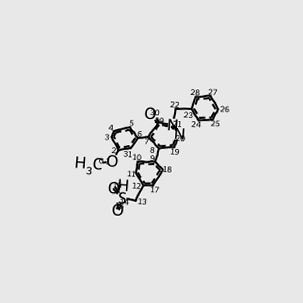 COc1cccc(-c2c(-c3ccc(C[SH](=O)=O)cc3)cnn(Cc3ccccc3)c2=O)c1